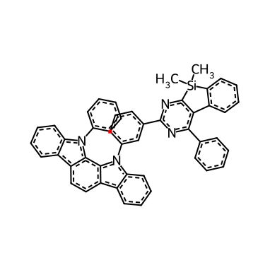 C[Si]1(C)c2ccccc2-c2c(-c3ccccc3)nc(-c3cccc(-n4c5ccccc5c5ccc6c7ccccc7n(-c7ccccc7)c6c54)c3)nc21